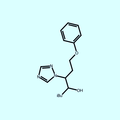 CCC(C)C(O)C(CCOc1ccccc1)n1cncn1